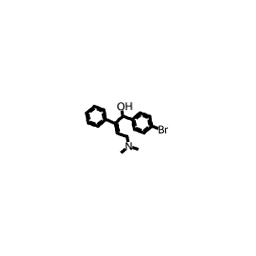 CN(C)CC=C(c1ccccc1)C(O)c1ccc(Br)cc1